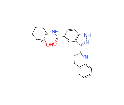 O=C(N[C@H]1CCCC[C@@H]1O)c1ccc2[nH]nc(-c3ccc4ccccc4n3)c2c1